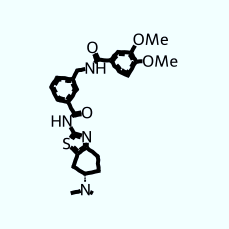 COc1ccc(C(=O)NCc2cccc(C(=O)Nc3nc4c(s3)C[C@@H](N(C)C)CC4)c2)cc1OC